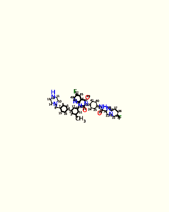 Cc1cc(-c2ccc(CN3CCNCC3)cc2)cc(-n2c(=O)n([C@H]3CC[C@@H](NC(=O)C4CN5CC(F)C=CC5=N4)CC3)c(=O)c3cc(F)cnc32)c1